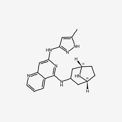 Cc1cc(Nc2cc3ncccc3c(NC3C[C@H]4CC[C@@H](C3)N4)n2)n[nH]1